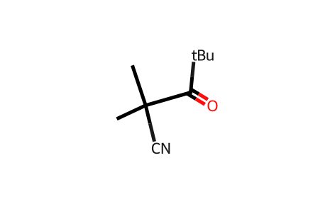 CC(C)(C)C(=O)C(C)(C)C#N